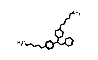 CCCCCCc1ccc(C(CC2CC=CCC2)C2CCC(CCCCCC)CC2)cc1